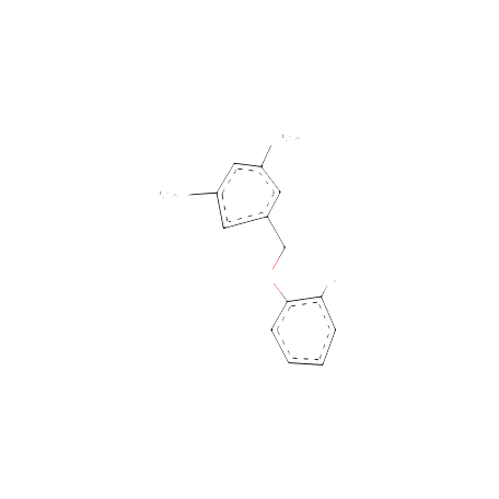 COc1cc(COc2ccccc2Br)cc(OC)c1